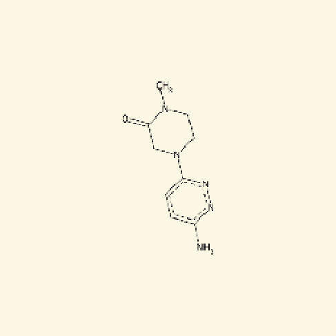 CN1CCN(c2ccc(N)nn2)CC1=O